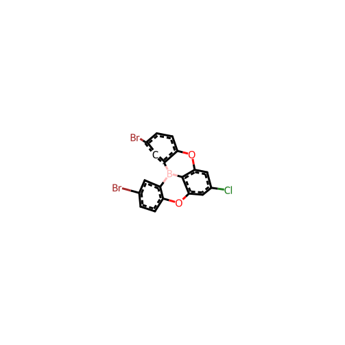 Clc1cc2c3c(c1)Oc1ccc(Br)cc1B3c1cc(Br)ccc1O2